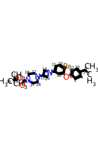 CC(C)c1ccc(Oc2cccc(N3CC(N4CCN(C(=O)OC(C)(C)C)CC4)C3)c2)c(Br)c1